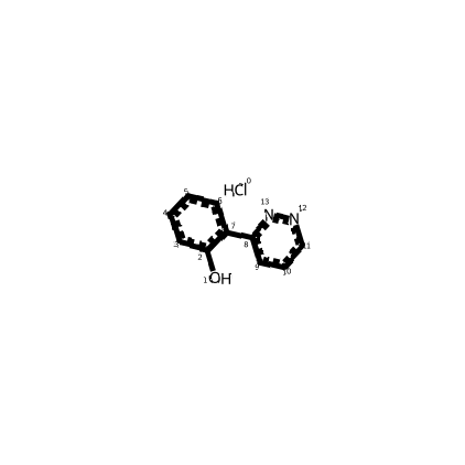 Cl.Oc1ccccc1-c1cccnn1